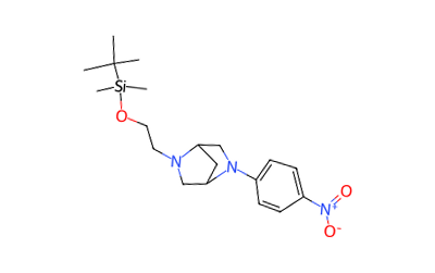 CC(C)(C)[Si](C)(C)OCCN1CC2CC1CN2c1ccc([N+](=O)[O-])cc1